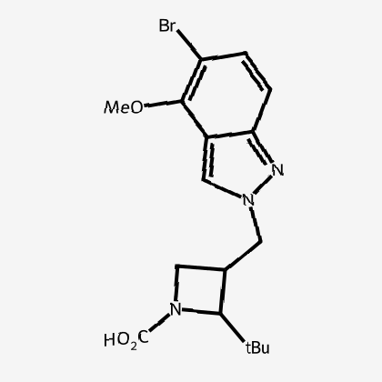 COc1c(Br)ccc2nn(CC3CN(C(=O)O)C3C(C)(C)C)cc12